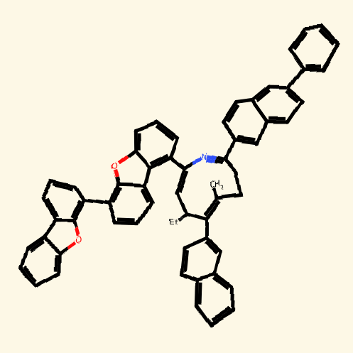 CCC1/C=C(c2cccc3oc4c(-c5cccc6c5oc5ccccc56)cccc4c23)\N=C(\c2ccc3cc(-c4ccccc4)ccc3c2)CC/C(C)=C/1c1ccc2ccccc2c1